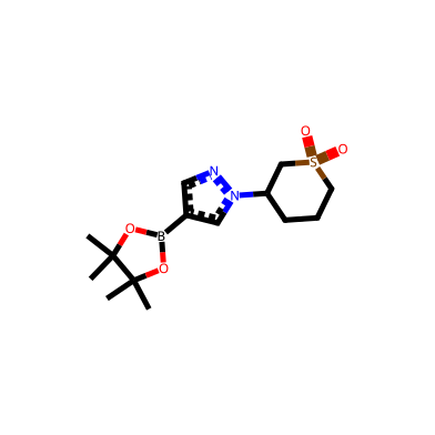 CC1(C)OB(c2cnn(C3CCCS(=O)(=O)C3)c2)OC1(C)C